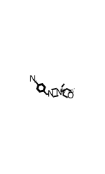 CC[C@@]1(N2CCN(Cc3ccc(C#N)cc3)CC2)CCO[C@@H](C)C1